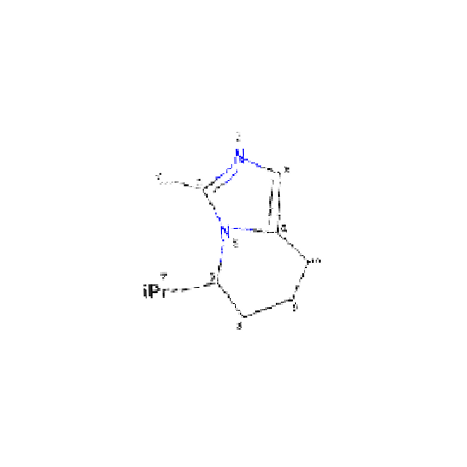 Cc1ncc2n1C(C(C)C)CCC2